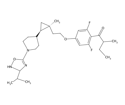 CCC(C)C(=O)c1c(F)cc(OCC[C@]2(C)C[C@@H]2C2CCN(C3=NC(C(C)C)NO3)CC2)cc1F